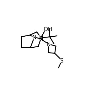 CSC1CN(C(O)N2C3CCC2CN(C(C)(C)C)C3)C1